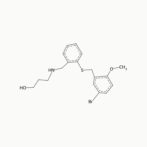 COc1ccc(Br)cc1CSc1ccccc1CNCCCO